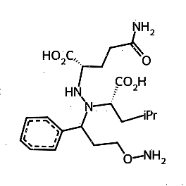 CC(C)C[C@@H](C(=O)O)N(N[C@@H](CCC(N)=O)C(=O)O)C(CCON)c1ccccc1